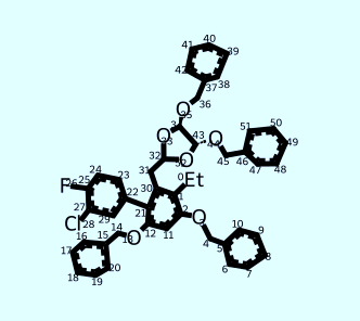 CCc1c(OCc2ccccc2)cc(OCc2ccccc2)c(-c2ccc(F)c(Cl)c2)c1CC1O[C@@H](OCc2ccccc2)[C@H](OCc2ccccc2)O1